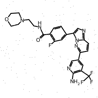 Nc1ncc(-c2ccc3ncc(-c4ccc(C(=O)NCCN5CCOCC5)c(F)c4)n3n2)cc1C(F)(F)F